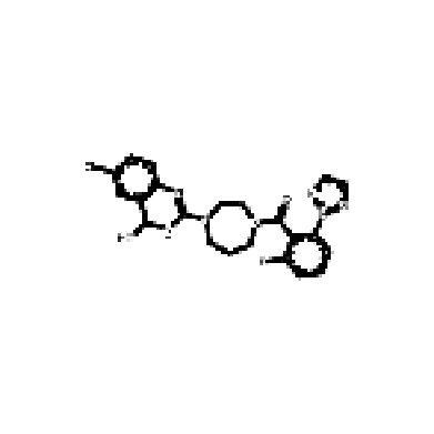 O=C(c1c(F)cccc1-n1nccn1)N1CCCN(C2=Nc3ccc(Cl)cc3C(O)N2)CC1